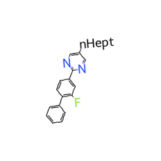 CCCCCCCc1cnc(-c2ccc(-c3ccccc3)c(F)c2)nc1